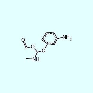 CNC(OC=O)Oc1cccc(N)c1